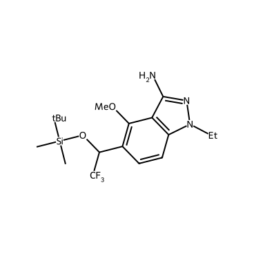 CCn1nc(N)c2c(OC)c(C(O[Si](C)(C)C(C)(C)C)C(F)(F)F)ccc21